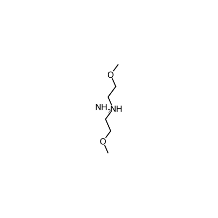 COCCNCCOC.N